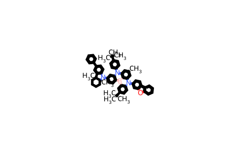 Cc1cc2c3c(c1)N(c1ccc(C(C)(C)C)cc1)c1cc(N4c5ccc(-c6ccccc6)cc5C5(C)CCCCC45C)ccc1B3c1cc(C(C)(C)C)ccc1N2c1ccc2c(c1)oc1ccccc12